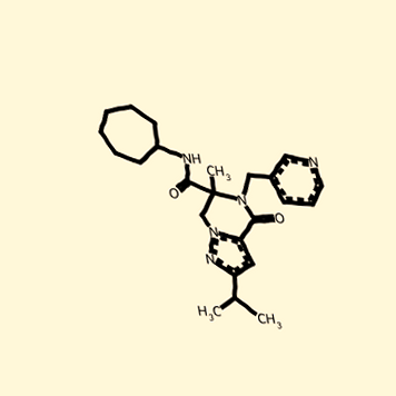 CC(C)c1cc2n(n1)CC(C)(C(=O)NC1CCCCCC1)N(Cc1cccnc1)C2=O